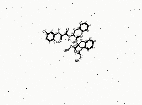 CC(=O)c1ccc(Cl)cc1NC(=O)C(=O)NC(Cc1ccccc1)C(=O)NC1(C(=O)OC(C)(C)C)Cc2ccccc2N1C(=O)OC(C)(C)C